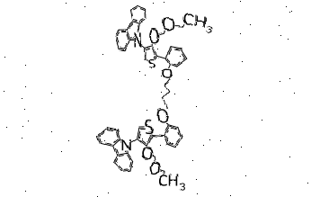 CCOCOc1c(-n2c3ccccc3c3ccccc32)csc1-c1ccccc1OCCCCCOc1ccccc1-c1scc(-n2c3ccccc3c3ccccc32)c1OCOCC